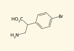 NCC(C(=O)O)c1ccc(Br)cc1